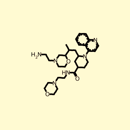 CC(CC1CC(C(=O)NCCN2CCOCC2)CCN1c1ccnc2ccccc12)C1CN(CCN)CCO1